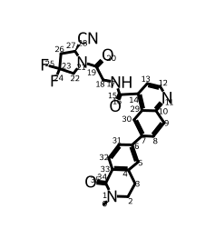 CN1CCc2cc(-c3ccc4nccc(C(=O)NCC(=O)N5CC(F)(F)C[C@H]5C#N)c4c3)ccc2C1=O